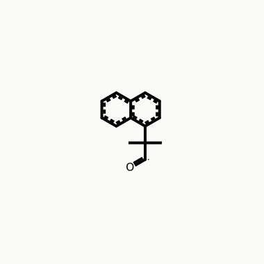 CC(C)([C]=O)c1cccc2ccccc12